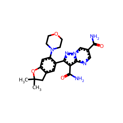 CC1(C)Cc2cc(-c3nn4cc(C(N)=O)cnc4c3C(N)=O)c(N3CCOCC3)cc2O1